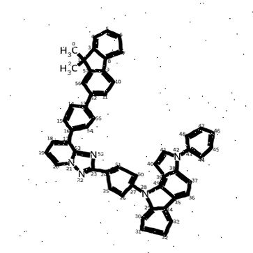 CC1(C)c2ccccc2-c2ccc(-c3ccc(-c4cccn5nc(-c6ccc(-n7c8ccccc8c8ccc9c(ccn9-c9ccccc9)c87)cc6)nc45)cc3)cc21